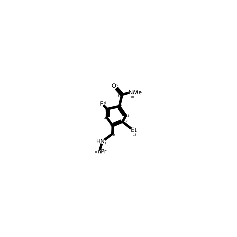 CCCNCc1cc(F)c(C(=O)NC)cc1CC